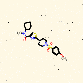 COc1ccc(S(=O)(=O)N2CCC(c3nc(C(=O)N(C)C4CCCCC4)cs3)CC2)cc1